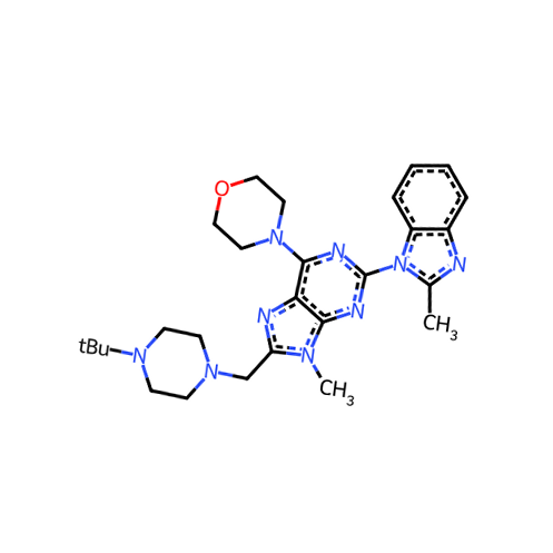 Cc1nc2ccccc2n1-c1nc(N2CCOCC2)c2nc(CN3CCN(C(C)(C)C)CC3)n(C)c2n1